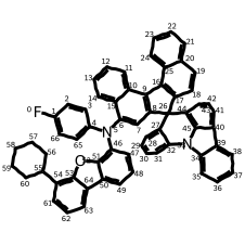 Fc1ccc(N(c2cc3c(c4ccccc24)-c2c(ccc4ccccc24)C32c3ccccc3-n3c4ccccc4c4cccc2c43)c2cccc3c2oc2c(C4CCCCC4)cccc23)cc1